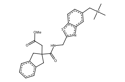 COC(=O)CC1(C(=O)NCc2nc3cc(C[N+](C)(C)C)ccc3s2)Cc2ccccc2C1